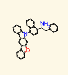 N[C@H](Cc1ccccc1)c1ccc(-n2c3ccccc3c3cc4c(cc32)oc2ccccc24)c2ccccc12